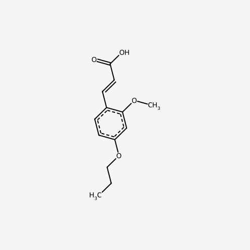 CCCOc1ccc(C=CC(=O)O)c(OC)c1